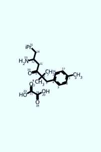 Cc1ccc(CC(C)(C)C(=O)CC(N)CC(C)C)cc1.O=C(O)C(=O)O